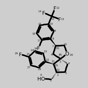 OC[C@H]1CC[C@@]2(C[C@@H](c3cc(C(F)(F)F)ccc3F)CO2)[C@@H]1c1ccc(F)cc1